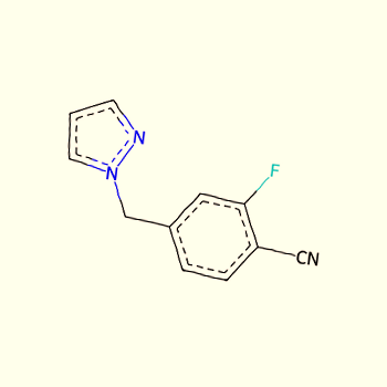 N#Cc1ccc(Cn2cccn2)cc1F